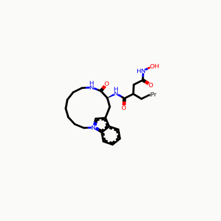 CC(C)CC(CC(=O)NO)C(=O)N[C@H]1Cc2cn(c3ccccc23)CCCCCCCNC1=O